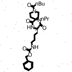 CCCCC(=O)N1CCC2(CC1)C(=O)N[C@@H](CCCCNC(=O)OCc1ccccc1)C(=O)N2CCC